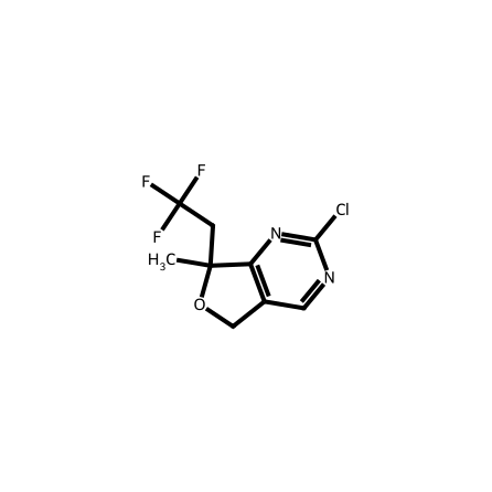 CC1(CC(F)(F)F)OCc2cnc(Cl)nc21